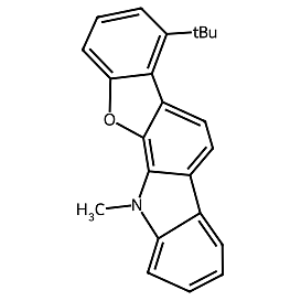 Cn1c2ccccc2c2ccc3c(oc4cccc(C(C)(C)C)c43)c21